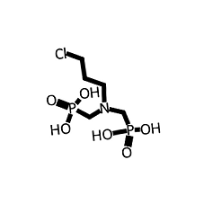 O=P(O)(O)CN(CCCCl)CP(=O)(O)O